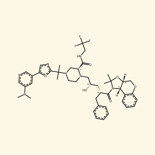 CN(C)c1cncc(-c2cnc(C(C)(C)N3CCN(C[C@@H](O)C[C@@H](Cc4ccccc4)C(=O)N4[C@H]5c6ccccc6OC[C@H]5OC4(C)C)[C@H](C(=O)NCC(F)(F)F)C3)o2)c1